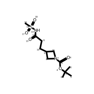 CC(C)(C)OC(=O)N1CC(CCC(=O)NS(C)(=O)=O)C1